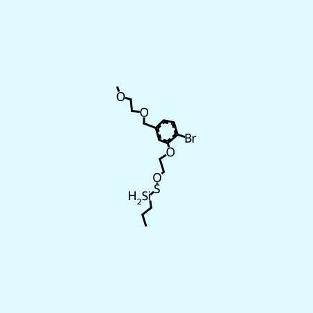 CCC[SiH2]SOCCOc1cc(COCCOC)ccc1Br